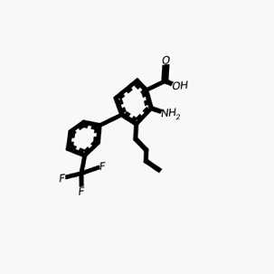 CCCCc1c(-c2cccc(C(F)(F)F)c2)ccc(C(=O)O)c1N